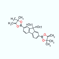 C=C1OB(c2ccc3c(c2)C(CCCCCCCC)(CCCCCCCC)c2cc(B4OC(=C)C(C)(C)O4)ccc2-3)OC1(C)C